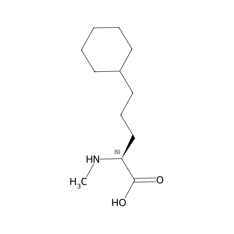 CN[C@@H](CCCC1CCCCC1)C(=O)O